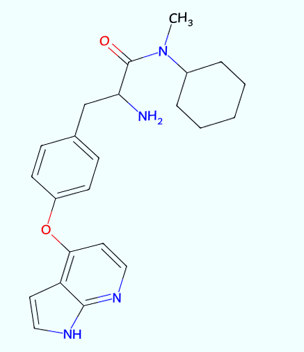 CN(C(=O)C(N)Cc1ccc(Oc2ccnc3[nH]ccc23)cc1)C1CCCCC1